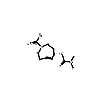 CN(C)C(=O)O[C@@H]1/C=C/CCN(C(=O)O)CC1